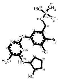 Cc1cnc(Nc2cc(Cl)c(Br)c(CO[Si](C)(C)C(C)(C)C)c2)nc1NC1CCCC1C#N